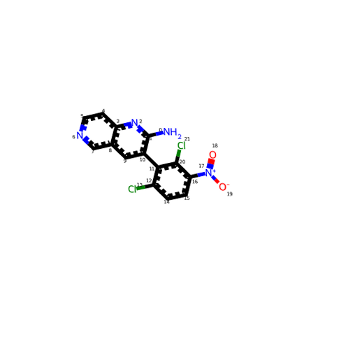 Nc1nc2ccncc2cc1-c1c(Cl)ccc([N+](=O)[O-])c1Cl